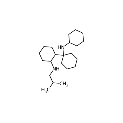 CC(C)CNC1CCCCC1C1(NC2CCCCC2)CCCCC1